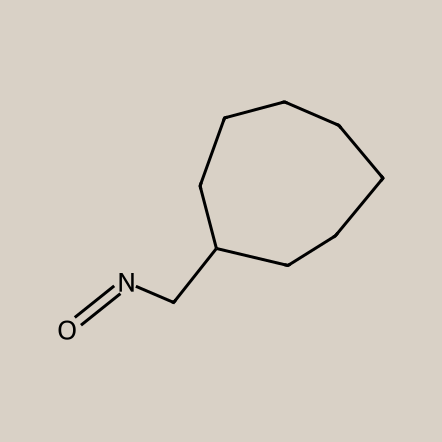 O=NCC1CCCCCCC1